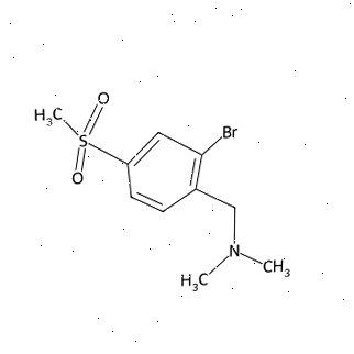 CN(C)Cc1ccc(S(C)(=O)=O)cc1Br